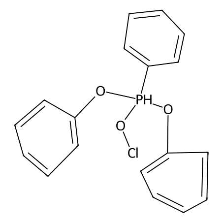 ClO[PH](Oc1ccccc1)(Oc1ccccc1)c1ccccc1